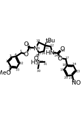 COc1ccc(COC(=O)N2C[C@@](CNC(=O)OCc3ccc([N+](=O)[O-])cc3)(C(C)(C)C)C[C@@H]2O[SiH](C)C)cc1